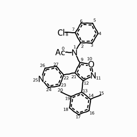 CC(=O)N(c1ccccc1Cl)c1onc(-c2c(C)cccc2C)c1-c1ccncc1